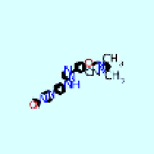 Cc1cc(C)n(CCOc2ccc(-c3nccc(Nc4ccc(N5CCN(C6COC6)CC5)cc4)n3)cc2C#N)n1